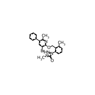 Cc1cccc(-n2[nH]n(C)c2=O)c1COc1nc(C)c(-c2ccccc2)cc1Br